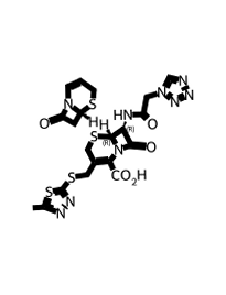 Cc1nnc(SCC2=C(C(=O)O)N3C(=O)[C@@H](NC(=O)Cn4cnnn4)[C@H]3SC2)s1.O=C1C[C@H]2SCC=CN12